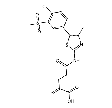 C=C(CCC(=O)NC1=NC(C)C(c2ccc(Cl)c(S(C)(=O)=O)c2)S1)C(=O)O